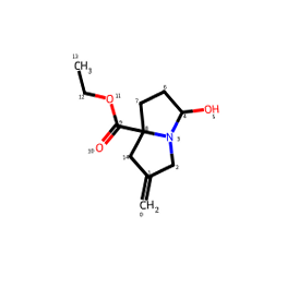 C=C1CN2C(O)CCC2(C(=O)OCC)C1